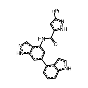 CCCc1cc(C(=O)Nc2cc(-c3cccc4[nH]ccc34)cc3[nH]ncc23)[nH]n1